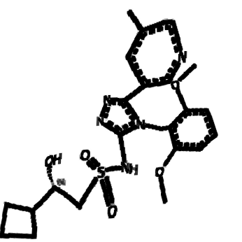 COc1cccc(OC)c1-n1c(NS(=O)(=O)C[C@@H](O)C2CCC2)nnc1-c1cncc(C)c1